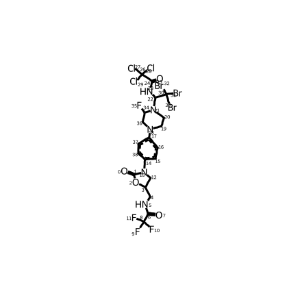 O=C1OC(CNC(=O)C(F)(F)F)CN1c1ccc(N2CCN(C(NC(=O)C(Cl)(Cl)Cl)C(Br)(Br)Br)C(F)C2)cc1